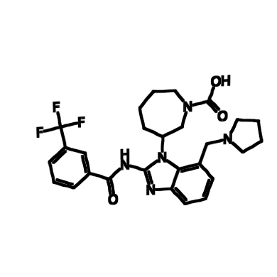 O=C(Nc1nc2cccc(CN3CCCC3)c2n1C1CCCCN(C(=O)O)C1)c1cccc(C(F)(F)F)c1